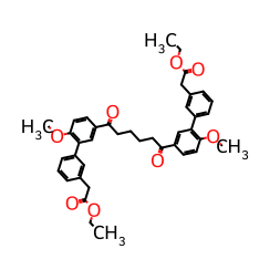 CCOC(=O)Cc1cccc(-c2cc(C(=O)CCCCC(=O)c3ccc(OC)c(-c4cccc(CC(=O)OCC)c4)c3)ccc2OC)c1